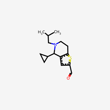 C[C](C)CN1CCc2sc(C=O)cc2C1C1CC1